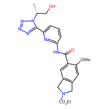 CCOC(=O)N1Cc2cc(OC)c(C(=O)Nc3cccc(-c4nnnn4[C@H](C)CO)n3)cc2C1